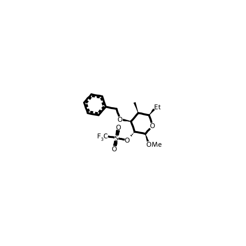 CC[C@H]1O[C@@H](OC)[C@H](OS(=O)(=O)C(F)(F)F)[C@@H](OCc2ccccc2)[C@H]1C